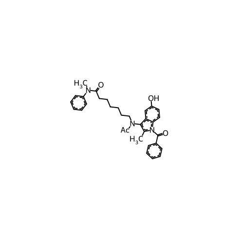 CC(=O)N(CCCCCCC(=O)N(C)c1ccccc1)c1c(C)n(C(=O)c2ccccc2)c2ccc(O)cc12